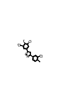 Cc1ccc(C2=NOC(c3cc(Cl)c(F)c(Cl)c3)C2)cc1Cl